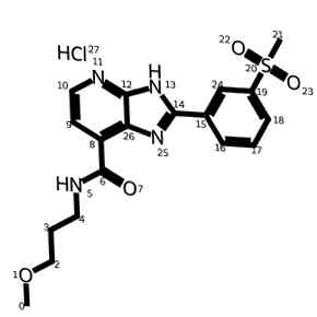 COCCCNC(=O)c1ccnc2[nH]c(-c3cccc(S(C)(=O)=O)c3)nc12.Cl